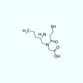 CCCCCN(CC(=O)O)C(=O)[C@H](N)CS